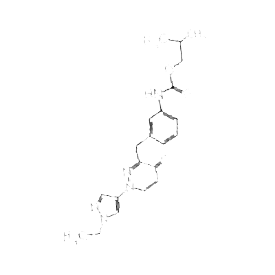 CCn1cc(-n2ccc(=O)c(Cc3cccc(NC(=O)OCC(C)C)c3)n2)cn1